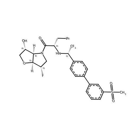 CC(C)C[C@H](N[C@@H](c1ccc(-c2cccc(S(C)(=O)=O)c2)cc1)C(F)(F)F)C(=O)N1C[C@H](F)[C@H]2OC[C@H](O)[C@H]21